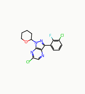 Fc1c(Cl)cccc1-c1nn(C2CCCCO2)c2nc(Cl)cnc12